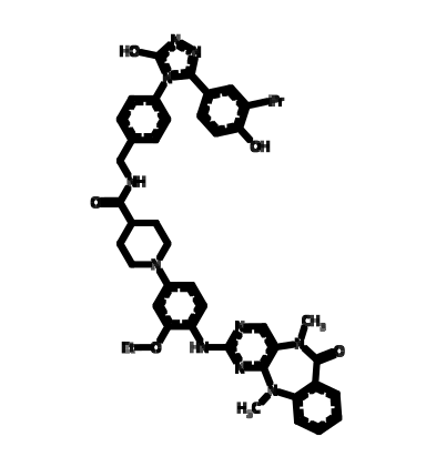 CCOc1cc(N2CCC(C(=O)NCc3ccc(-n4c(O)nnc4-c4ccc(O)c(C(C)C)c4)cc3)CC2)ccc1Nc1ncc2c(n1)N(C)c1ccccc1C(=O)N2C